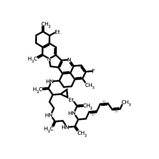 C=C(CNC(=C)C(C/C=C/C=C\C=C/C)NC(=C)CC)NCCC(C(=C)NC1CCc2c(C)c(F)cc3nc4c(c1c23)CN1C(=C)C2=C(C=C41)C(CC)C(=C)CC2)C1CC1